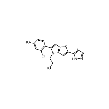 OCCn1c(-c2ccc(O)cc2Cl)cc2sc(-c3nnn[nH]3)cc21